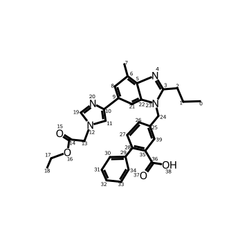 CCCc1nc2c(C)cc(-c3cn(CC(=O)OCC)cn3)cc2n1Cc1ccc(-c2ccccc2)c(C(=O)O)c1